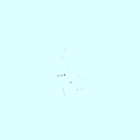 CCCCC(=O)C(CC)(CC)CC